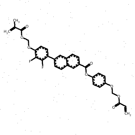 C=CC(=O)OCOc1ccc(OC(=O)c2ccc3cc(-c4ccc(OCOC(=O)C(=C)C)c(F)c4F)ccc3c2)cc1